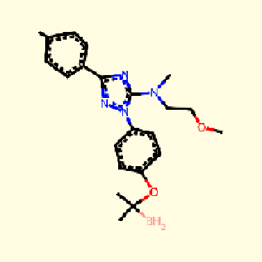 BC(C)(C)Oc1ccc(-n2nc(-c3ccc(C)cc3)nc2N(C)CCOC)cc1